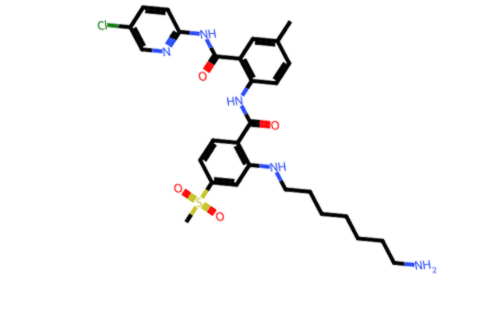 Cc1ccc(NC(=O)c2ccc(S(C)(=O)=O)cc2NCCCCCCCN)c(C(=O)Nc2ccc(Cl)cn2)c1